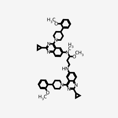 COc1ccccc1C1CCN(c2nc(C3CC3)nc3ccc(NCCC(OC)N(C)c4ccc5nc(C6CC6)nc(N6CCC(c7ccccc7OC)CC6)c5c4)cc23)CC1